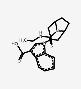 CCNC(=S)N1C2CCC1CC(n1cc(C(=O)O)c3ccccc31)C2